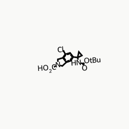 CC(C)(C)OC(=O)NC1(c2cc(Cl)c3c(c2)CN(C(=O)O)C3)CC1